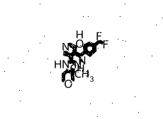 CC1(C)COCC[C@@H]1Nc1nnc(-c2ccc(C(F)F)cc2O)c2ccncc12